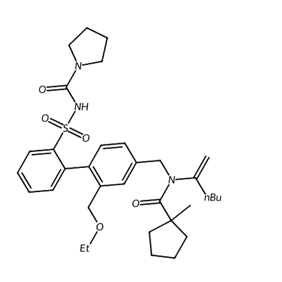 C=C(CCCC)N(Cc1ccc(-c2ccccc2S(=O)(=O)NC(=O)N2CCCC2)c(COCC)c1)C(=O)C1(C)CCCC1